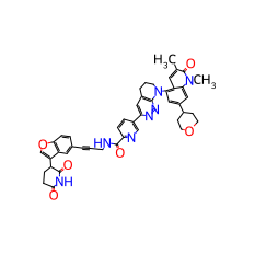 Cc1cc2c(N3CCCc4cc(-c5ccc(C(=O)NCC#Cc6ccc7occ(C8CCC(=O)NC8=O)c7c6)nc5)nnc43)cc(C3CCOCC3)cc2n(C)c1=O